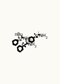 CCC(N)[Si](C)(C)c1ccccc1.CCCCC(N)[Si](C)(C)c1ccccc1.C[C@H](N)[Si](C)(C)c1ccccc1